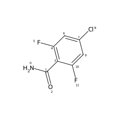 NC(=O)c1c(F)cc(Cl)cc1F